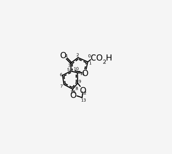 O=C(O)c1cc(=O)c2ccc3c(c2o1)OCO3